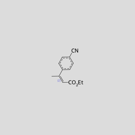 CCOC(=O)/C=C(/C)c1ccc(C#N)cc1